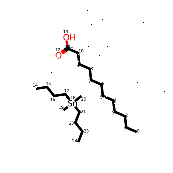 CCCCCCCCCCCC(=O)O.CCC[CH2][Sn]([CH3])([CH3])[CH2]CCC